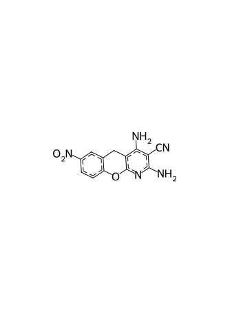 N#Cc1c(N)nc2c(c1N)Cc1cc([N+](=O)[O-])ccc1O2